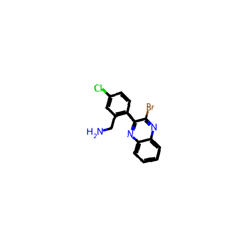 NCc1cc(Cl)ccc1-c1nc2ccccc2nc1Br